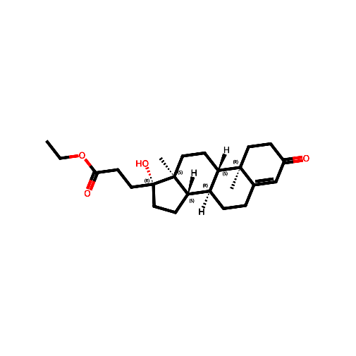 CCOC(=O)CC[C@]1(O)CC[C@H]2[C@@H]3CCC4=CC(=O)CC[C@]4(C)[C@H]3CC[C@@]21C